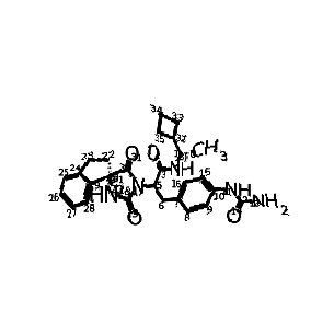 C[C@H](NC(=O)C(Cc1ccc(NC(N)=O)cc1)N1C(=O)N[C@]2(CCc3ccccc32)C1=O)C1CCC1